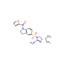 CC(C)[C@H]1CN(S(=O)(=O)c2ccc3c(c2)CCN3C(=O)c2ccco2)C(N)=N1